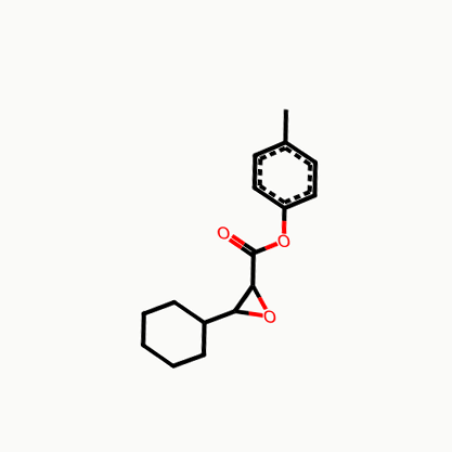 Cc1ccc(OC(=O)C2OC2C2CCCCC2)cc1